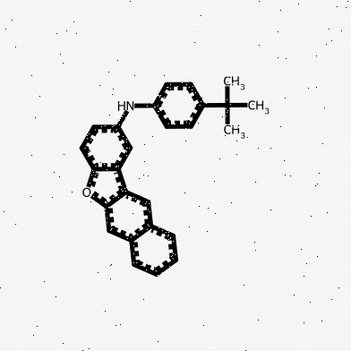 CC(C)(C)c1ccc(Nc2ccc3oc4cc5ccccc5cc4c3c2)cc1